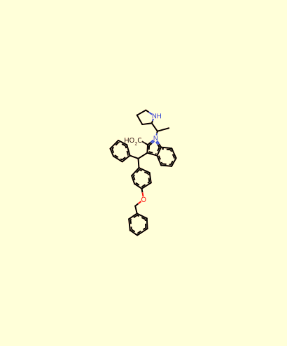 CC(C1CCCN1)n1c(C(=O)O)c(C(c2ccccc2)c2ccc(OCc3ccccc3)cc2)c2ccccc21